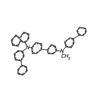 CN(c1ccc(-c2ccccc2)cc1)c1ccc(-c2ccc(N(c3cccc(-c4ccccc4)c3)c3cccc4ccccc34)cc2)cc1